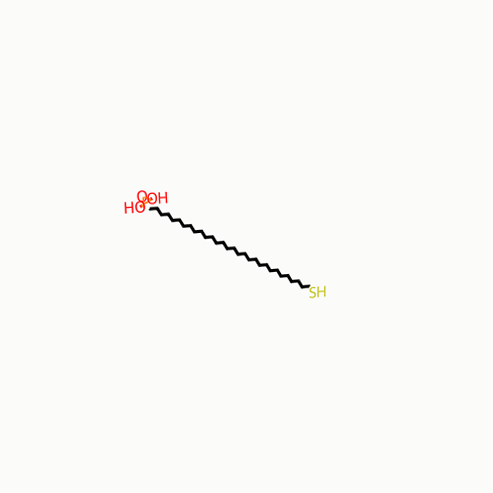 O=P(O)(O)CCCCCCCCCCCCCCCCCCCCCCCCCCCCCCS